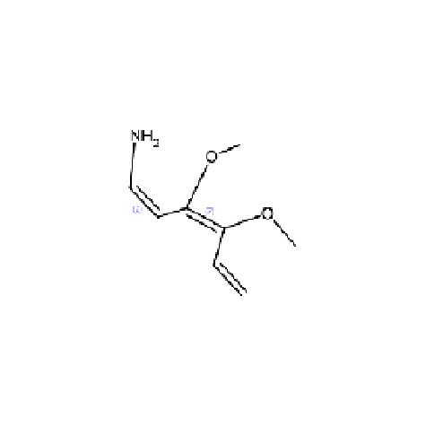 C=C/C(OC)=C(\C=C/N)OC